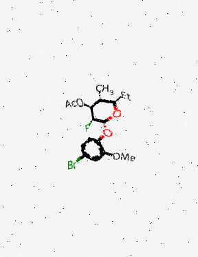 CC[C@H]1O[C@H](Oc2ccc(Br)cc2OC)[C@@H](F)[C@@H](OC(C)=O)[C@@H]1C